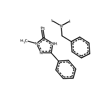 Cn1nc(-c2ccccc2)[nH][c]1=[Pt].IN(I)Cc1ccccc1